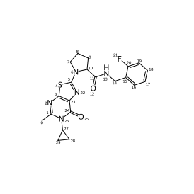 Cc1nc2sc(N3CCCC3C(=O)NCc3ccccc3F)nc2c(=O)n1C1CC1